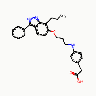 CCCc1c(OCCCNc2ccc(CC(=O)O)cc2)ccc2c(-c3ccccc3)[nH]nc12